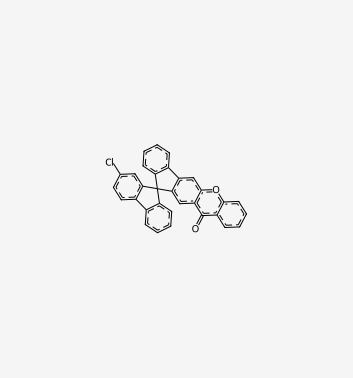 O=c1c2ccccc2oc2cc3c(cc12)C1(c2ccccc2-c2ccc(Cl)cc21)c1ccccc1-3